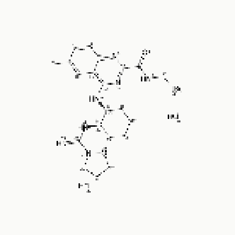 Cc1ccc2nc(C(=O)NCC(C)(C)C)nc(N[C@H]3CCCC[C@H]3NC(=N)N3CCCO3)c2c1.Cl.Cl